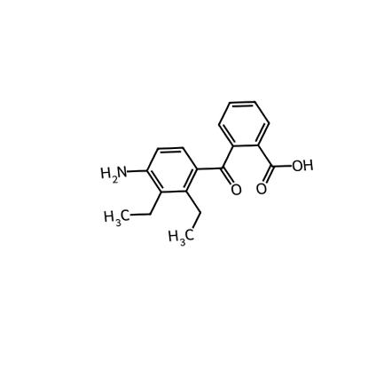 CCc1c(N)ccc(C(=O)c2ccccc2C(=O)O)c1CC